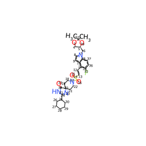 CC1(C)OC[C@H](Cn2ccc3c(/C=C/S(=O)(=O)N4CCC5(CC4)N=C(C4CCCCC4)NC5=O)c(F)ccc32)O1